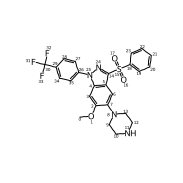 COc1cc2c(cc1N1CCNCC1)c(S(=O)(=O)c1ccccc1)nn2-c1ccc(C(F)(F)F)cc1